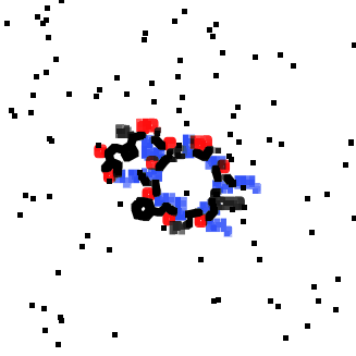 CCC(C(=O)N[C@H](CO)C(=O)N[C@H]1CCNC(=O)[C@H]([C@@H](C)O)NC(=O)[C@H](CCN)NC[C@](C=O)(CCN)NC(=O)[C@H](CC(C)C)NC(=O)[C@@H](Cc2ccccc2)NC(=O)[C@H](CCN)NC1=O)C1CCC1CC(=O)c1ccoc1